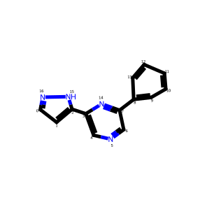 [c]1cc(-c2cncc(-c3ccccc3)n2)[nH]n1